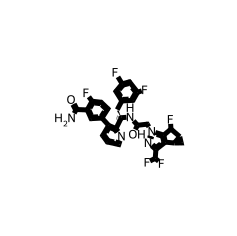 NC(=O)c1cc(-c2cccnc2[C@H](Cc2cc(F)cc(F)c2)NC(O)Cn2nc(C(F)F)c3c2C(F)C2CC32)ccc1F